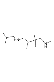 CNCC(C)(C)C(C)CNCC(C)C